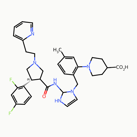 Cc1ccc(CN2C=CNC2NC(=O)C2CN(CCc3ccccn3)C[C@H]2c2ccc(F)cc2F)c(N2CCC(C(=O)O)CC2)c1